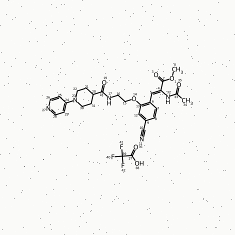 COC(=O)C(=Cc1ccc(C#N)cc1OCCNC(=O)C1CCN(c2ccncc2)CC1)NC(C)=O.O=C(O)C(F)(F)F